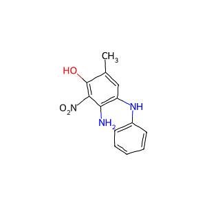 Cc1cc(Nc2ccccc2)c(N)c([N+](=O)[O-])c1O